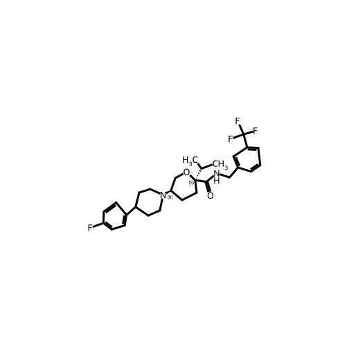 CC(C)[C@]1(C(=O)NCc2cccc(C(F)(F)F)c2)CC[C@@H](N2CCC(c3ccc(F)cc3)CC2)CO1